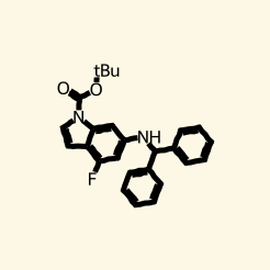 CC(C)(C)OC(=O)n1ccc2c(F)cc(NC(c3ccccc3)c3ccccc3)cc21